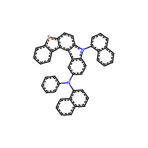 c1ccc(N(c2ccc3c(c2)c2c4c(ccc2n3-c2cccc3ccccc23)sc2ccccc24)c2cccc3ccccc23)cc1